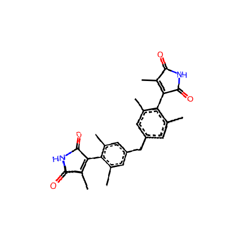 CC1=C(c2c(C)cc(Cc3cc(C)c(C4=C(C)C(=O)NC4=O)c(C)c3)cc2C)C(=O)NC1=O